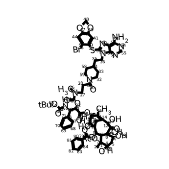 CC(=O)O[C@@]12CO[C@@H]1C[C@H](O)[C@@]1(C)C(=O)[C@H](O)C3=C(C)[C@@H](OC(=O)[C@H](OC(=O)N(C)CCC(=O)N4CCC(CCn5c(Sc6cc7c(cc6Br)OCO7)nc6c(N)ncnc65)CC4)[C@@H](NC(=O)OC(C)(C)C)c4ccccc4)C[C@@](O)([C@@H](OC(=O)c4ccccc4)C12)C3(C)C